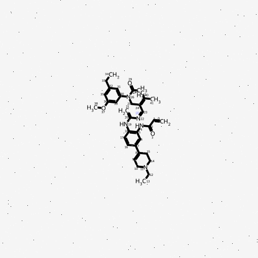 C=CC(=O)Nc1cc(C2=CCN(CC)CC2)ccc1NC(=C)/N=C\C(CN(C(C)=O)c1cc(CC)cc(OC)c1)=C(C)C